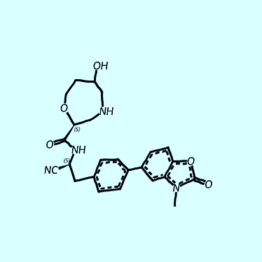 Cn1c(=O)oc2ccc(-c3ccc(C[C@@H](C#N)NC(=O)[C@@H]4CNCC(O)CCO4)cc3)cc21